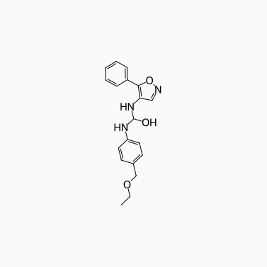 CCOCc1ccc(NC(O)Nc2cnoc2-c2ccccc2)cc1